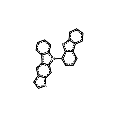 c1ccc2c(c1)sc1c(-n3c4ccccc4c4cc5ccsc5cc43)cccc12